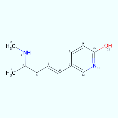 CNC(C)CC=Cc1ccc(O)nc1